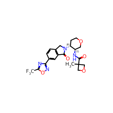 CC1(C(=O)N[C@@H]2COCC[C@H]2N2Cc3ccc(-c4noc(C(F)(F)F)n4)cc3C2=O)COC1